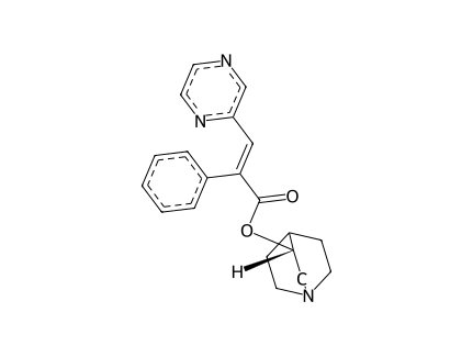 O=C(O[C@H]1CN2CCC1CC2)C(=Cc1cnccn1)c1ccccc1